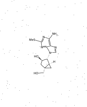 CSc1nc(N)c2ncn([C@H]3[C@H](O)C[C@]4(CO)C[C@H]34)c2n1